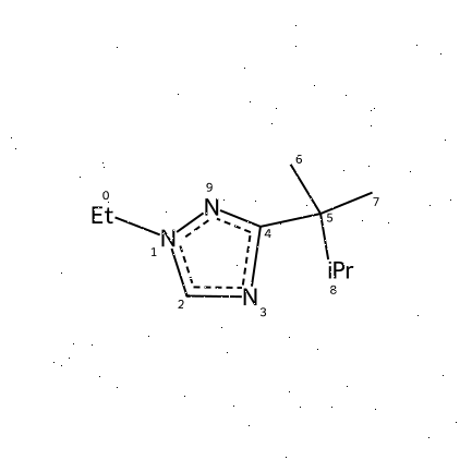 CCn1cnc(C(C)(C)C(C)C)n1